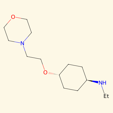 CCN[C@H]1CC[C@H](OCCN2CCOCC2)CC1